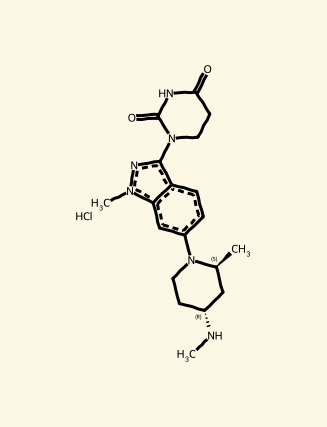 CN[C@@H]1CCN(c2ccc3c(N4CCC(=O)NC4=O)nn(C)c3c2)[C@@H](C)C1.Cl